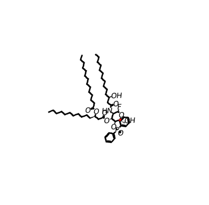 CCCCCCCCCCCCCC(=O)O[C@H](CCCCCCCCCCC)CC(=O)O[C@@H]1[C@@H](NC(=O)C[C@H](O)CCCCCCCCCCC)[C@@H](F)O[C@H](CO)[C@H]1OP(=O)(c1ccccc1)c1ccccc1